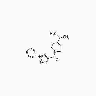 CC(C)C1CCN(C(=O)c2cnn(-c3ccccc3)c2)CC1